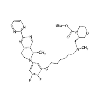 CC1c2cnc(-c3ncccn3)nc2CCN1c1cc(F)c(F)c(OCCCCCCN(C)C[C@@H]2COCCN2C(=O)OC(C)(C)C)c1